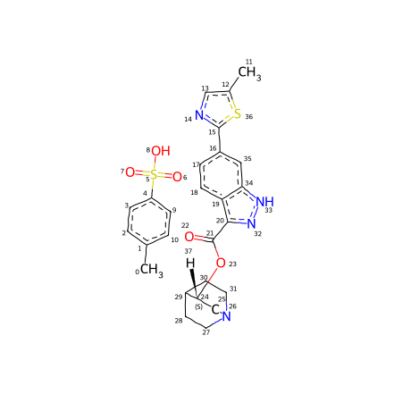 Cc1ccc(S(=O)(=O)O)cc1.Cc1cnc(-c2ccc3c(C(=O)O[C@@H]4CN5CCC4CC5)n[nH]c3c2)s1